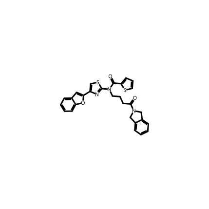 O=C(CCCN(C(=O)c1cccs1)c1nc(-c2cc3ccccc3o2)cs1)N1Cc2ccccc2C1